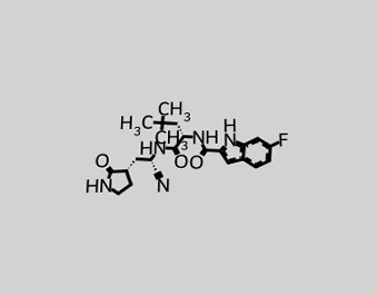 CC(C)(C)C[C@H](NC(=O)c1cc2ccc(F)cc2[nH]1)C(=O)N[C@H](C#N)C[C@@H]1CCNC1=O